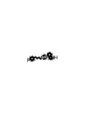 Fc1ccc(CCCCN2CCN(c3cccc4[nH]ccc34)CC2)cc1